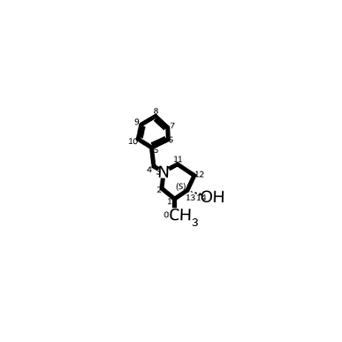 CC1CN(Cc2ccccc2)CC[C@@H]1O